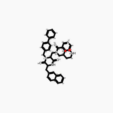 O=C1NC(Cc2ccc3ccccc3c2)C(=O)N(Cc2ccc(-c3ccccc3)cc2)C1CN(CC1CCNCC1)C(=O)c1cccnc1